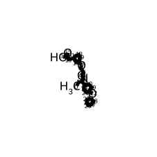 CC/C(=N\OCCOc1cccc(CC(=O)O)c1)c1ccc(Oc2ccccc2)cc1